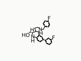 OC[C@@H]1Nc2ccc(-c3cccc(F)c3)cc2[C@H]2[C@@H]1CCN2Cc1ccc(F)cc1